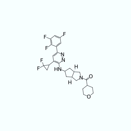 O=C(C1CCOCC1)N1C[C@H]2CC(Nc3nnc(-c4cc(F)cc(F)c4F)cc3C3CC3(F)F)C[C@H]2C1